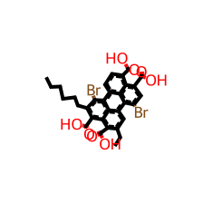 CCCCCCc1c(C(=O)O)c2c(C(=O)O)c(CC)cc3c4c(Br)cc(C(=O)O)c5c(C(=O)O)ccc(c(c1Br)c23)c54